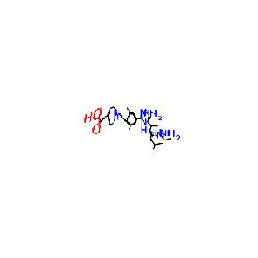 C=C(/C=C(/CC(C)C)N(N)CC)C(=C)N/C(=N\N)c1cc(C)c(CCN2CCC(C(=O)O)CC2)c(C)c1